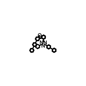 C1=CCC(c2nc(-c3ccc(-c4ccccc4)cc3)nc(-c3cccc4oc5ccc(-c6ccc(-c7ccccc7)cc6)cc5c34)n2)C=C1